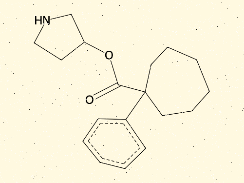 O=C(OC1CCNC1)C1(c2ccccc2)CCCCCC1